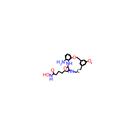 COc1cc2cc(c1)COc1cccc(N)c1NC(=O)C(CCCCCC(=O)NO)NCCC2